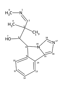 C/N=C\C(C)(C)C(O)C1c2ccccc2-c2cncn21